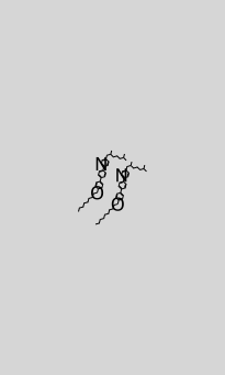 CCCCCCCCCOc1ccc(-c2ccc(-c3ccc(CC(C)CCCC(C)C)cn3)cc2)cc1.CCCCCCCCOc1ccc(-c2ccc(-c3ccc(CC(C)CCCC(C)C)cn3)cc2)cc1